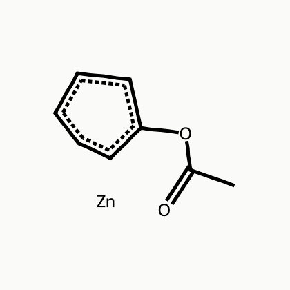 CC(=O)Oc1ccccc1.[Zn]